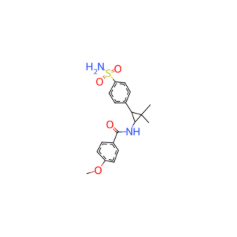 COc1ccc(C(=O)NC2C(c3ccc(S(N)(=O)=O)cc3)C2(C)C)cc1